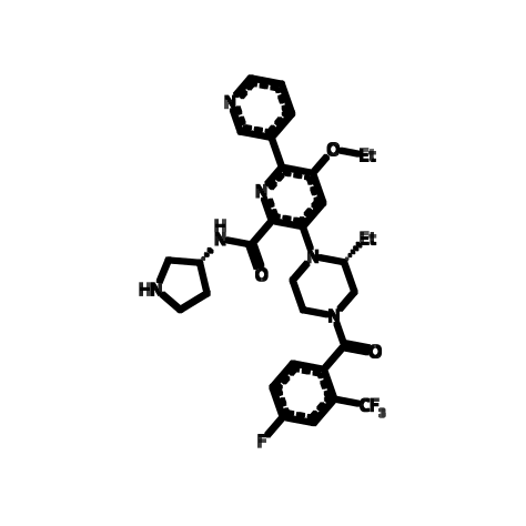 CCOc1cc(N2CCN(C(=O)c3ccc(F)cc3C(F)(F)F)C[C@H]2CC)c(C(=O)N[C@@H]2CCNC2)nc1-c1cccnc1